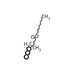 CCCCCCCCCCOC(=O)CCCC(C)(C)c1ccc2cc3ccccc3cc2c1